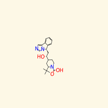 CC(C)(C)C1CC([C@H](O)C[C@@H]2c3ccccc3-c3cncn32)CCN1C(=O)O